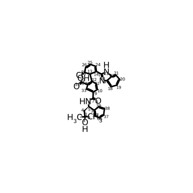 CC(C)(O)C[C@@H](NC(=O)c1ccc(C2C(c3nc4ccccc4[nH]3)=CC=C[C@@H]2Cl)c(C(=O)O)c1)c1ccccc1